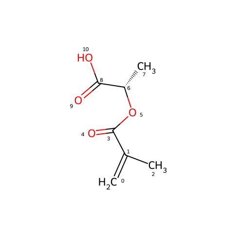 C=C(C)C(=O)O[C@@H](C)C(=O)O